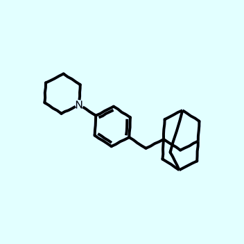 c1cc(N2CCCCC2)ccc1CC12CC3CC(CC(C3)C1)C2